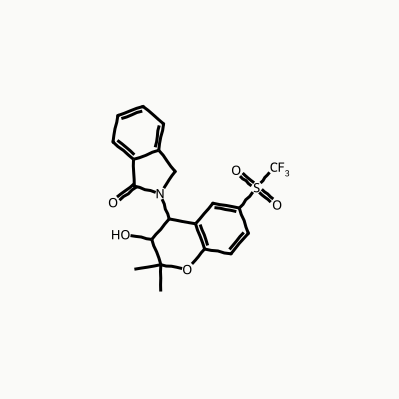 CC1(C)Oc2ccc(S(=O)(=O)C(F)(F)F)cc2C(N2Cc3ccccc3C2=O)C1O